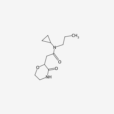 CCCN(C(=O)CC1OCCNC1=O)C1CC1